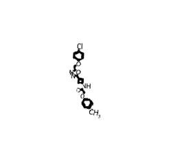 Cc1ccc(OCC(=O)NC2C=C(c3nnc(COc4ccc(Cl)cc4)o3)C2)cc1